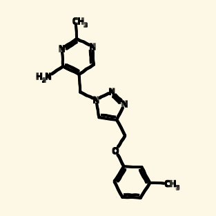 Cc1cccc(OCc2cn(Cc3cnc(C)nc3N)nn2)c1